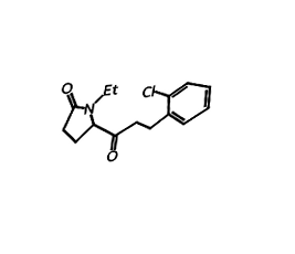 CCN1C(=O)CCC1C(=O)CCc1ccccc1Cl